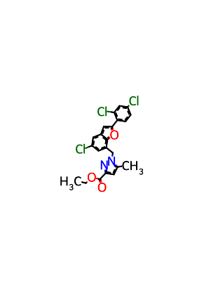 CCOC(=O)c1cc(C)n(Cc2cc(Cl)cc3cc(-c4ccc(Cl)cc4Cl)oc23)n1